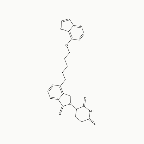 O=C1CCC(N2Cc3c(CCCCCOc4ccnc5ccsc45)cccc3C2=O)C(=O)N1